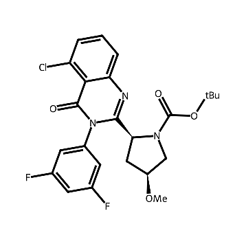 CO[C@H]1C[C@@H](c2nc3cccc(Cl)c3c(=O)n2-c2cc(F)cc(F)c2)N(C(=O)OC(C)(C)C)C1